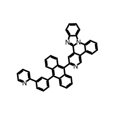 c1ccc(-c2cccc(-c3c4ccccc4c(-c4cc5c(cn4)c4ccccc4n4c6ccccc6nc54)c4ccccc34)c2)nc1